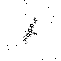 C=C(CO)C(=O)Oc1ccc(-c2ccc(-c3ccc(OC(=O)C(=C)CO)cc3)c(CCCCC)c2)cc1